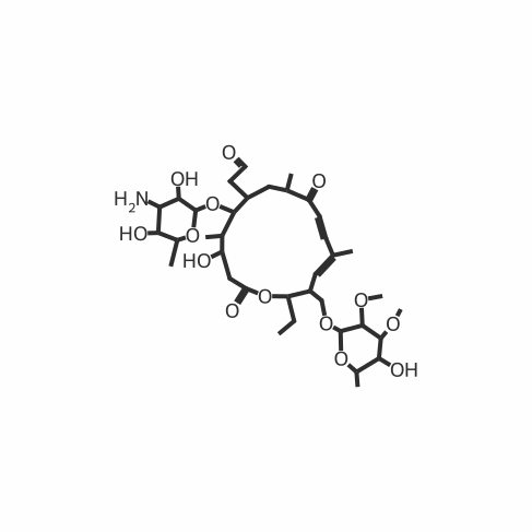 CCC1OC(=O)CC(O)C(C)C(OC2OC(C)C(O)C(N)C2O)C(CC=O)CC(C)C(=O)/C=C/C(C)=C/C1COC1OC(C)C(O)C(OC)C1OC